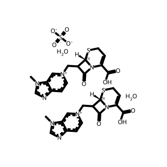 Cn1cnc2cc[n+](CC3C(=O)N4C(C(=O)O)=CCS[C@@H]34)cc21.Cn1cnc2cc[n+](CC3C(=O)N4C(C(=O)O)=CCS[C@@H]34)cc21.O.O.O=S(=O)([O-])[O-]